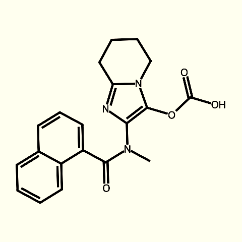 CN(C(=O)c1cccc2ccccc12)c1nc2n(c1OC(=O)O)CCCC2